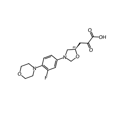 O=C(O)C(=O)C[C@@H]1CN(c2ccc(N3CCOCC3)c(F)c2)CO1